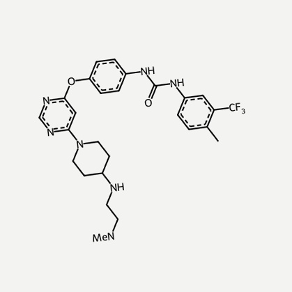 CNCCNC1CCN(c2cc(Oc3ccc(NC(=O)Nc4ccc(C)c(C(F)(F)F)c4)cc3)ncn2)CC1